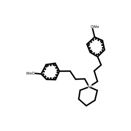 COc1ccc(CCC[N+]2(CCCc3ccc(OC)cc3)CCCCC2)cc1